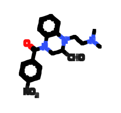 CN(C)CCN1c2ccccc2N(C(=O)c2ccc([N+](=O)[O-])cc2)CC1C=O